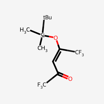 CC(C)(C)[Si](C)(C)OC(=CC(=O)C(F)(F)F)C(F)(F)F